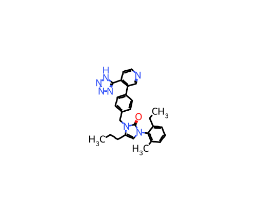 CCCc1cn(-c2c(C)cccc2CC)c(=O)n1Cc1ccc(-c2cnccc2-c2nnn[nH]2)cc1